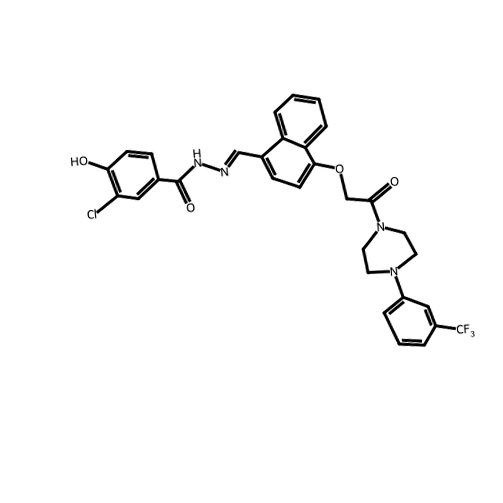 O=C(N/N=C/c1ccc(OCC(=O)N2CCN(c3cccc(C(F)(F)F)c3)CC2)c2ccccc12)c1ccc(O)c(Cl)c1